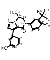 Cc1cc(-c2cnn3c2C(=O)N(c2ccc(F)c(C(F)(F)F)c2)C[C@@H]3C)ccn1